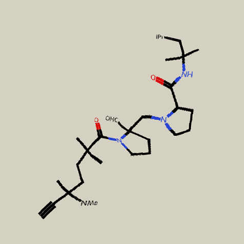 C#CC(C)(CCC(C)(C)C(=O)N1CCCC1(C=O)CN1CCCC1C(=O)NC(C)(C)CC(C)C)NC